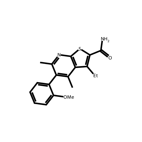 CCc1c(C(N)=O)sc2nc(C)c(-c3ccccc3OC)c(C)c12